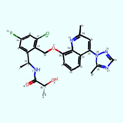 CC[C@@H](O)C(=O)N[C@@H](C)c1cc(F)cc(Cl)c1COc1cccc2c(-n3ncnc3C)cc(C)nc12